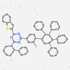 Cc1cc(-c2nc(-c3cc4ccccc4s3)nc(-c3ccccc3-c3ccccc3)n2)ccc1-c1cc(-c2ccccc2)c(-c2ccccc2)c(-c2ccccc2)c1-c1ccccc1